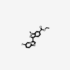 CCOC(=O)c1ccc2c(-c3cnc4ccc(F)cn34)nn(C)c2c1